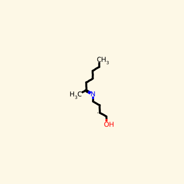 CCCCCC(C)=NCC[CH]CO